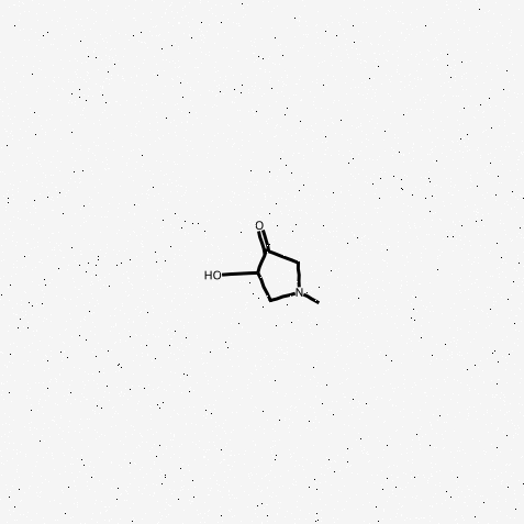 CN1CC(=O)C(O)C1